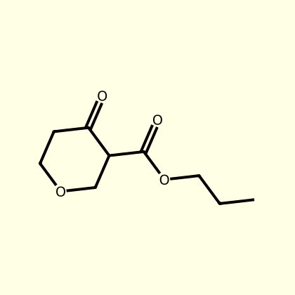 CCCOC(=O)C1COCCC1=O